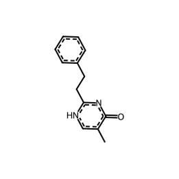 Cc1c[nH]c(CCc2ccccc2)nc1=O